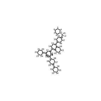 CC1(C)c2ccccc2-c2cc(-c3ccc(-c4cc(-c5ccccc5)nc(-c5ccc(-c6ccccc6)cc5)n4)c4ccccc34)ccc21